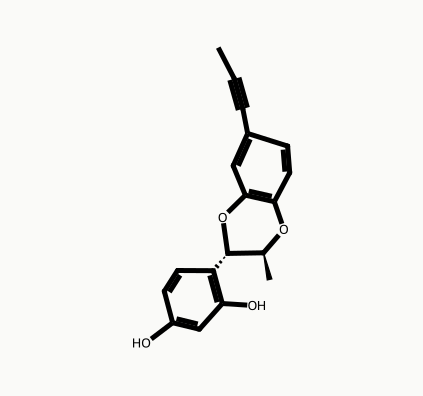 CC#Cc1ccc2c(c1)O[C@@H](c1ccc(O)cc1O)[C@H](C)O2